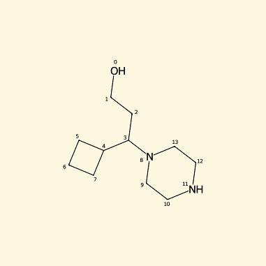 OCCC(C1CCC1)N1CCNCC1